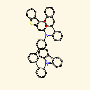 c1cc(-c2ccc(N(c3ccc4c(c3)sc3ccccc34)c3ccccc3-c3ccc4ccccc4c3)cc2)cc(-c2ccccc2-n2c3ccccc3c3ccccc32)c1